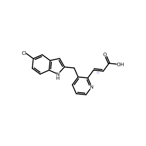 O=C(O)/C=C/c1ncccc1Cc1cc2cc(Cl)ccc2[nH]1